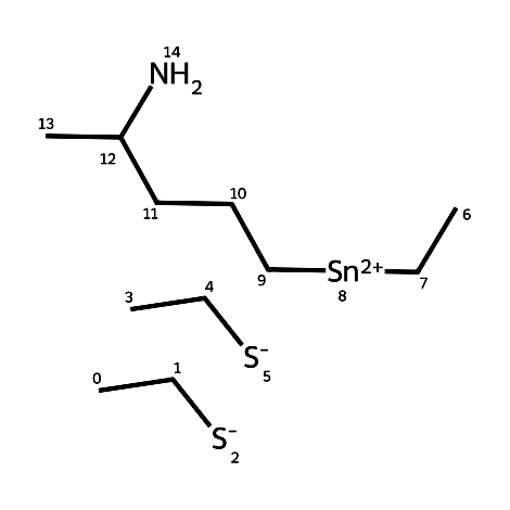 CC[S-].CC[S-].C[CH2][Sn+2][CH2]CCC(C)N